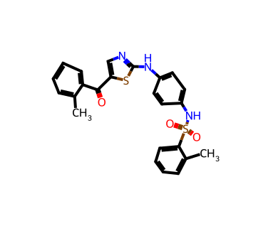 Cc1ccccc1C(=O)c1cnc(Nc2ccc(NS(=O)(=O)c3ccccc3C)cc2)s1